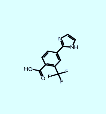 O=C(O)c1ccc(-c2ncc[nH]2)cc1C(F)(F)F